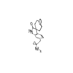 NC(=O)Cc1ccc2c(c1)NC(=O)C21CCOCC1